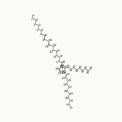 CCCCCCCCCCCCCCCCCCCN1C=CN(CCCCCCCCCCC)C1CCCCCCCCC